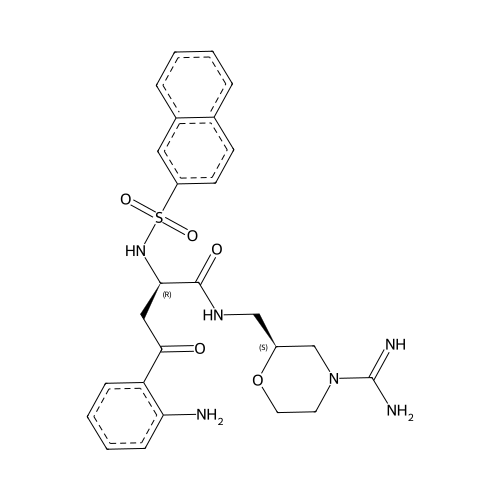 N=C(N)N1CCO[C@@H](CNC(=O)[C@@H](CC(=O)c2ccccc2N)NS(=O)(=O)c2ccc3ccccc3c2)C1